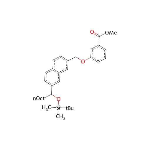 CCCCCCCCC(O[Si](C)(C)C(C)(C)C)c1ccc2ccc(COc3cccc(C(=O)OC)c3)cc2c1